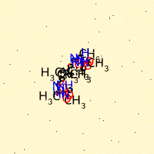 COC(=O)NC(C(=O)N1CC(C)C[C@H]1c1ncc(-c2ccc(-c3c4c(c(-c5ccc(-c6cnc([C@@H]7CC(C)CN7C(=O)C(NC(=O)OC)c7ccccc7)[nH]6)cc5)c5c3C(C)(C)CC5)C(C)(C)CC4)cc2)[nH]1)c1ccccc1